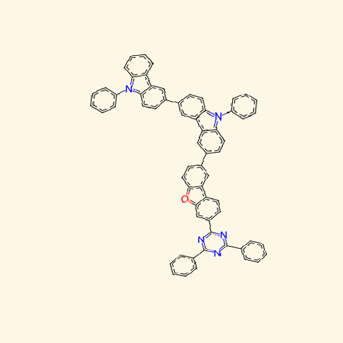 c1ccc(-c2nc(-c3ccccc3)nc(-c3ccc4c(c3)oc3ccc(-c5ccc6c(c5)c5cc(-c7ccc8c(c7)c7ccccc7n8-c7ccccc7)ccc5n6-c5ccccc5)cc34)n2)cc1